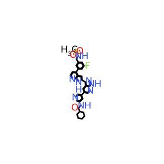 CS(=O)(=O)NCc1cc(F)cc(-c2ccnc3[nH]c(-c4n[nH]c5ncc(-c6cncc(NC(=O)C7CCCCC7)c6)cc45)cc23)c1